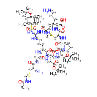 CC(=O)NCSC[C@@H](N)C(=O)NCC(=O)N[C@@H](CCCNC(=N)NS(=O)(=O)c1c(C)c(C)c2c(c1C)CC(C)(C)O2)C(=O)N[C@@H](CC(=O)OC(C)(C)C)C(=O)N[C@@H](COC(C)(C)C)C(=O)N1CCC[C@H]1C(=O)N[C@@H](CSCNC(C)=O)C(=O)N[C@@H](CCCCN)C(=O)O